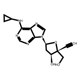 C#C[C@]1(CO)O[C@H](n2cnc3c(NC4CC4)ncnc32)C[C@@H]1O